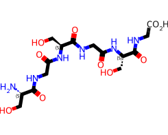 N[C@@H](CO)C(=O)NCC(=O)N[C@@H](CO)C(=O)NCC(=O)N[C@@H](CO)C(=O)NCC(=O)O